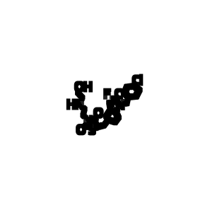 O=C1SC(=Cc2ccc3c(cnn3Cc3ccc(Cl)cc3C(F)(F)F)c2)C(=O)N1CCNCCO